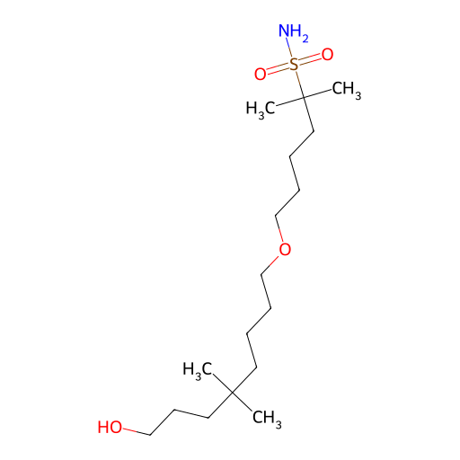 CC(C)(CCCO)CCCCOCCCCC(C)(C)S(N)(=O)=O